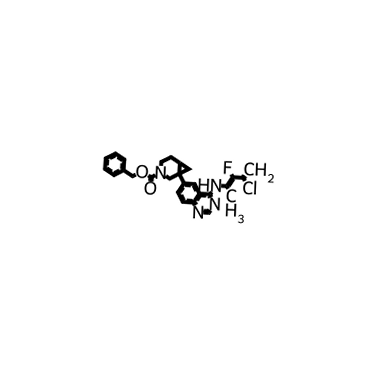 C=C(Cl)/C(F)=C(\C)Nc1ncnc2ccc(C34CC3CCN(C(=O)OCc3ccccc3)C4)cc12